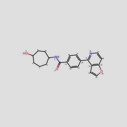 O=C(NC1CCCC(O)CC1)c1ccc(-c2nccc3occc23)cc1